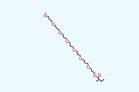 CCC(C)C(=O)OCCCOCCCOCCCOCCCOCCCOCCCOCCCOC